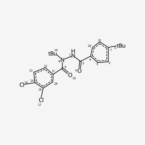 CC(C)(C)c1ccc(C(=O)NN(C(=O)c2ccc(Cl)c(Cl)c2)C(C)(C)C)cc1